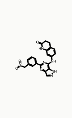 O=C1CCc2ccc(Nc3nc(-c4cccc(C[SH](=O)=O)c4)nc4cn[nH]c34)cc2N1